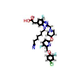 N#CCCCCCCn1c(CN2CCC(Oc3ccc(F)c(COc4ccc(Cl)cc4F)n3)CC2)nc2c(F)cc(CC(=O)O)cc21